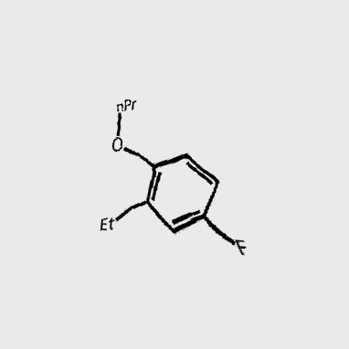 CCCOc1ccc(F)cc1CC